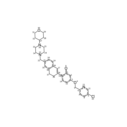 O=c1cc(OCc2ccc(Cl)cn2)ccn1C1=Cc2ccc(CN3CCN(C4CCOCC4)CC3)cc2CC1